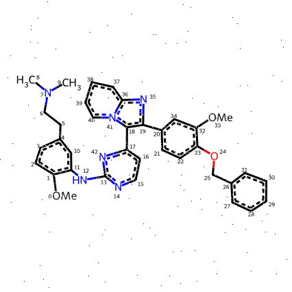 COc1ccc(CCN(C)C)cc1Nc1nccc(-c2c(-c3ccc(OCc4ccccc4)c(OC)c3)nc3ccccn23)n1